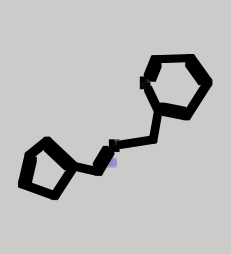 C1=CCC(/C=N/Cc2ccccn2)=C1